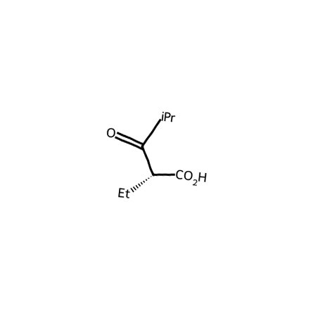 CC[C@@H](C(=O)O)C(=O)C(C)C